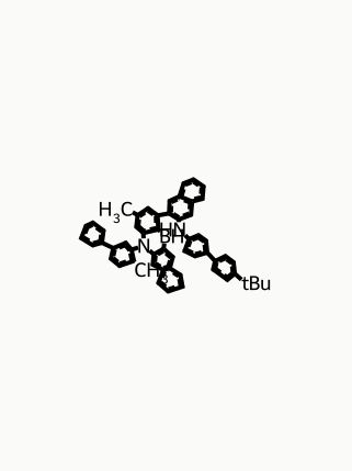 Cc1cc(-c2cc3ccccc3cc2Nc2ccc(-c3ccc(C(C)(C)C)cc3)cc2)c2c(c1)N(c1cc(-c3ccccc3)ccc1C)c1cc3ccccc3cc1B2